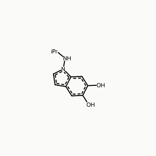 CC(C)Nn1ccc2cc(O)c(O)cc21